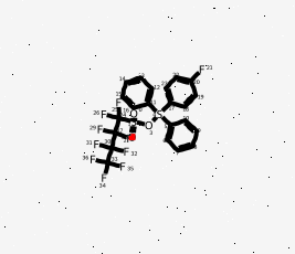 O=S(=O)(OS(c1ccccc1)(c1ccccc1)c1ccc(F)cc1)C(F)(F)C(F)(F)C(F)(F)C(F)(F)F